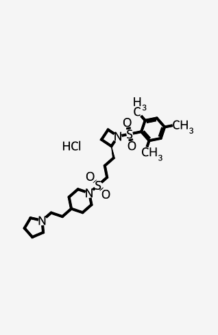 Cc1cc(C)c(S(=O)(=O)N2CC[C@@H]2CCCS(=O)(=O)N2CCC(CCN3CCCC3)CC2)c(C)c1.Cl